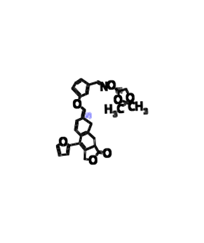 CC1(C)OC[C@H](ON=Cc2cccc(O/C=C3\C=CC4=C(C3)CC3C(=O)OCC3=C4c3ccco3)c2)O1